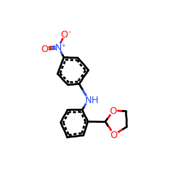 O=[N+]([O-])c1ccc(Nc2ccccc2C2OCCO2)cc1